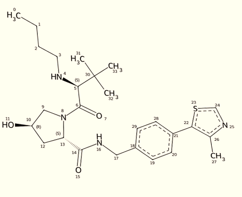 CCCCN[C@H](C(=O)N1C[C@H](O)C[C@H]1C(=O)NCc1ccc(-c2scnc2C)cc1)C(C)(C)C